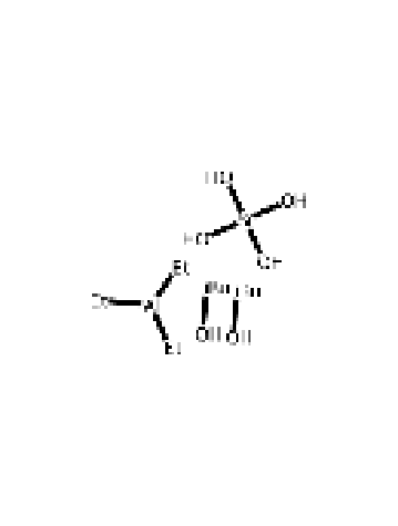 CCC(C)O.CCC(C)O.C[CH2][Al]([CH2]C)[CH2]C.O[Si](O)(O)O